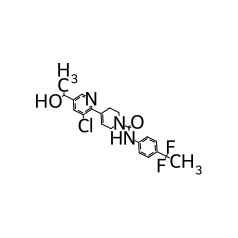 CC(O)c1cnc(C2=CCN(C(=O)Nc3ccc(C(C)(F)F)cc3)CC2)c(Cl)c1